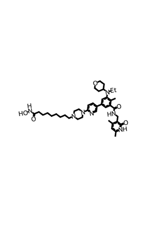 CCN(c1cc(-c2ccc(N3CCN(CCCCCCCCC(=O)NO)CC3)nc2)cc(C(=O)NCc2c(C)cc(C)[nH]c2=O)c1C)C1CCOCC1